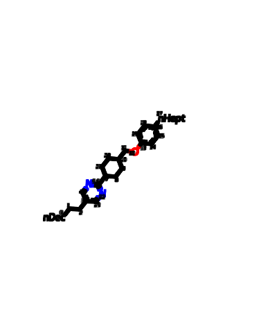 CCCCCCCCCCCCc1cnc(C2CCC(COc3ccc(CCCCCCC)cc3)CC2)nc1